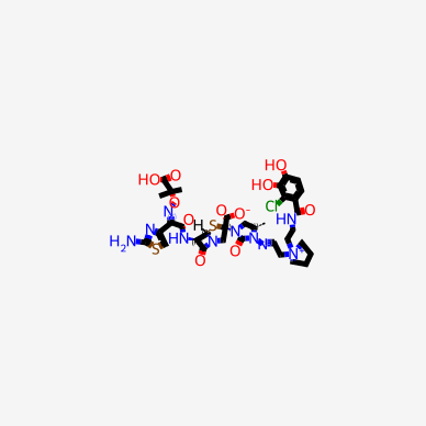 C[C@H]1CN([C@]2(C(=O)[O-])CN3C(=O)[C@@H](NC(=O)/C(=N\OC(C)(C)C(=O)O)c4csc(N)n4)[C@H]3S2)C(=O)N1/N=C/C[N+]1(CCNC(=O)c2ccc(O)c(O)c2Cl)CCCC1